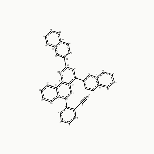 N#Cc1ccccc1-c1cc2c(-c3ccc4ccccc4c3)cc(-c3ccc4ccccc4c3)nc2c2ccccc12